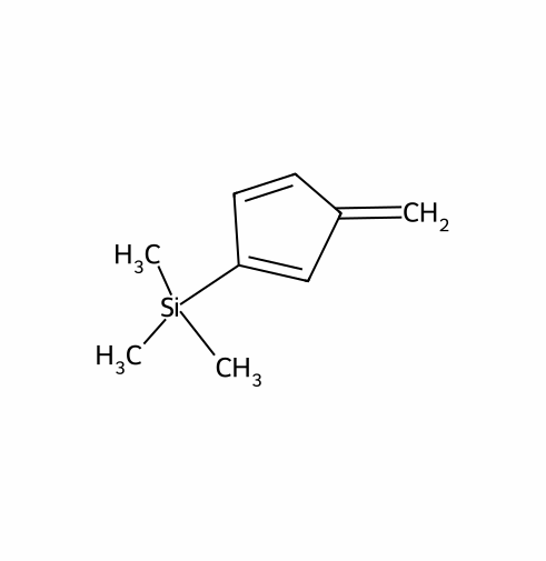 C=C1C=CC([Si](C)(C)C)=C1